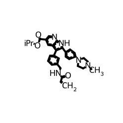 C=CC(=O)NCc1cccc(-c2c(-c3ccc(N4CCN(C)CC4)cc3)[nH]c3ncc(C(=O)OC(C)C)cc23)c1